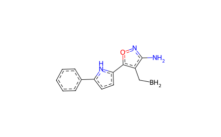 BCc1c(N)noc1-c1ccc(-c2ccccc2)[nH]1